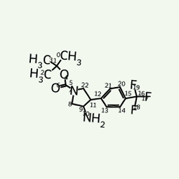 CC(C)(C)OC(=O)N1CC(N)C(c2ccc(C(F)(F)F)cc2)C1